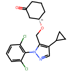 O=C1CCC[C@H](OCc2c(C3CC3)cnn2-c2c(Cl)cccc2Cl)C1